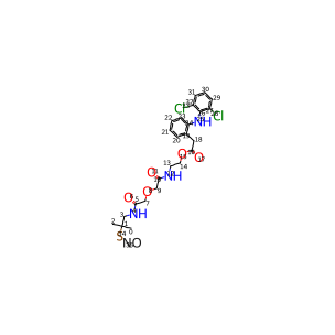 CC(C)(CNC(=O)COCC(=O)NCCOC(=O)Cc1ccccc1Nc1c(Cl)cccc1Cl)SN=O